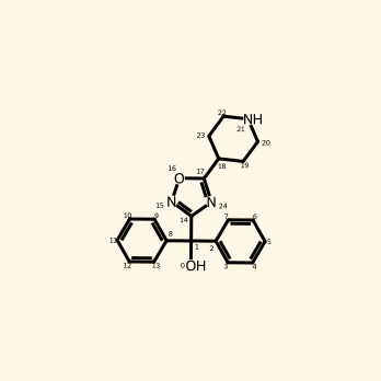 OC(c1ccccc1)(c1ccccc1)c1noc(C2CCNCC2)n1